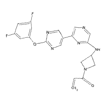 C=CC(=O)N1CC(Nc2cncc(-c3cnc(Oc4cc(F)cc(F)c4)nc3)n2)C1